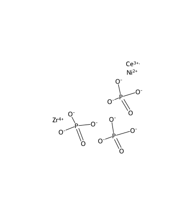 O=P([O-])([O-])[O-].O=P([O-])([O-])[O-].O=P([O-])([O-])[O-].[Ce+3].[Ni+2].[Zr+4]